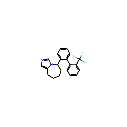 FC(F)(F)c1ccccc1-c1ccccc1C1CCCCc2cncn21